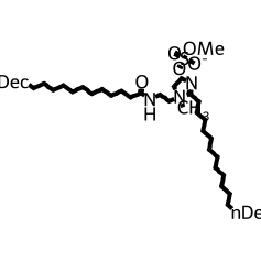 CCCCCCCCCCCCCCCCCCCCCCC1=NCC[N+]1(C)CCNC(=O)CCCCCCCCCCCCCCCCCCCCC.COS(=O)(=O)[O-]